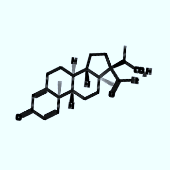 CCC(=O)[C@@]1(C(C)C(=O)O)CC[C@H]2[C@@H]3CCC4=CC(=O)C=C[C@]4(C)[C@H]3CC[C@@]21C